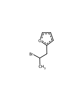 CC(Br)Cc1ccco1